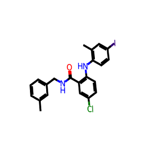 Cc1cccc(CNC(=O)c2cc(Cl)ccc2Nc2ccc(I)cc2C)c1